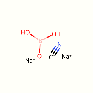 [C-]#N.[Na+].[Na+].[O-]B(O)O